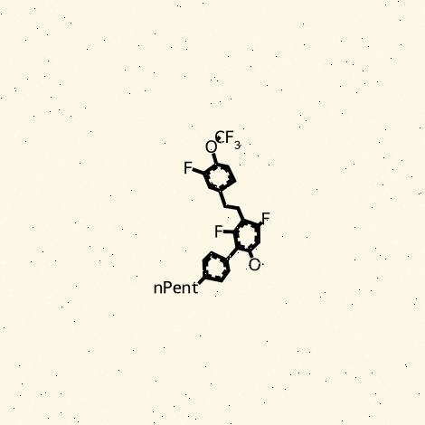 CCCCCc1ccc(-c2c([O])cc(F)c(CCc3ccc(OC(F)(F)F)c(F)c3)c2F)cc1